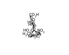 Cc1ncc([N+](=O)[O-])n1CCC(CCn1c([N+](=O)[O-])cnc1C)(OCC(=O)NC(=S)NC(=O)COCC(=O)O)C(=O)O